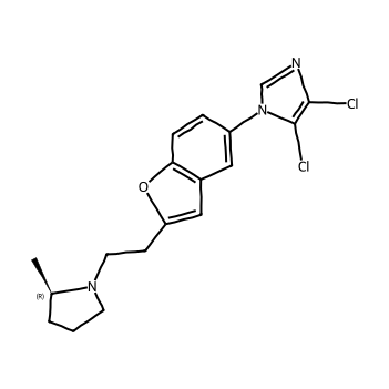 C[C@@H]1CCCN1CCc1cc2cc(-n3cnc(Cl)c3Cl)ccc2o1